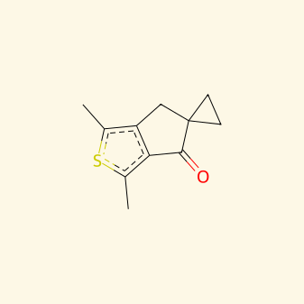 Cc1sc(C)c2c1CC1(CC1)C2=O